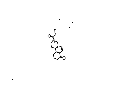 O=C1CCCc2c1ccc1c2CCN(C(=O)CF)C1